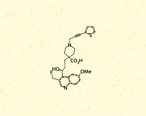 COc1ccc2ncc(CF)c([C@@H](O)CCC3(C(=O)O)CCN(CC#Cc4cccs4)CC3)c2c1